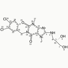 Cn1c(NC[C@H](O)CO)nc2c1c(=O)n(Cc1ccc(Cl)c(Cl)c1)c(=O)n2C